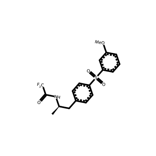 COc1cccc(S(=O)(=O)c2ccc(C[C@@H](C)NC(=O)C(F)(F)F)cc2)c1